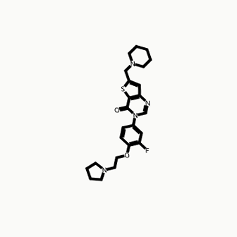 O=c1c2sc(CN3CCCCC3)cc2ncn1-c1ccc(OCCN2CCCC2)c(F)c1